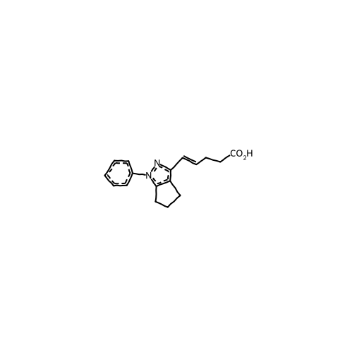 O=C(O)CCC=Cc1nn(-c2ccccc2)c2c1CCC2